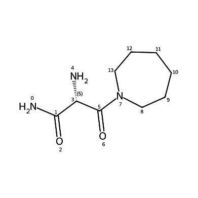 NC(=O)[C@H](N)C(=O)N1CCCCCC1